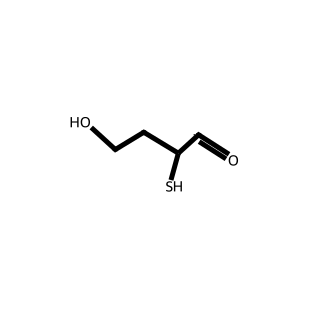 O=[C]C(S)CCO